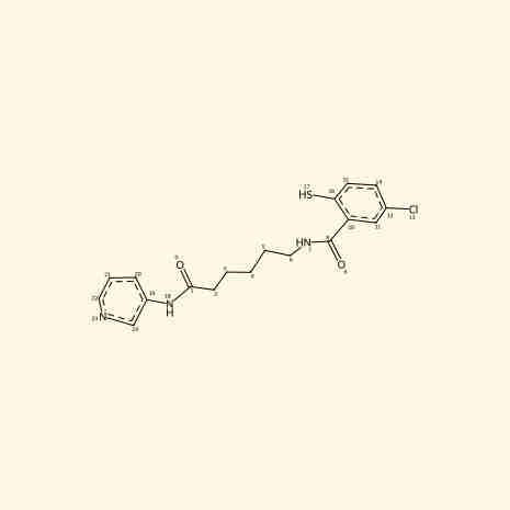 O=C(CCCCCNC(=O)c1cc(Cl)ccc1S)Nc1cccnc1